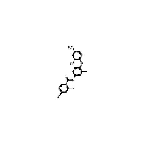 Cc1cc(NC(=O)c2cnc(Br)cc2Br)ccc1Oc1ncc(C(F)(F)F)cc1Cl